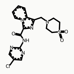 O=C(Nc1ncc(Cl)cn1)c1nc(CN2CCS(=O)(=O)CC2)c2ccccn12